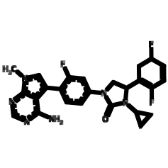 Cn1cc(-c2ccc(N3CC(C4=C(F)C=CC(F)C4)N(C4CC4)C3=O)cc2F)c2c(N)ncnc21